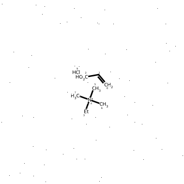 C=CC(=O)O.CC[N+](C)(C)C.Cl